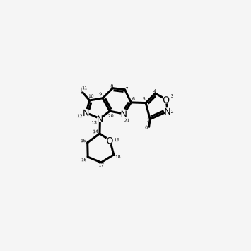 Cc1nocc1-c1ccc2c(I)nn(C3CCCCO3)c2n1